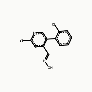 O/N=C/c1cc(Cl)ncc1-c1ccccc1Cl